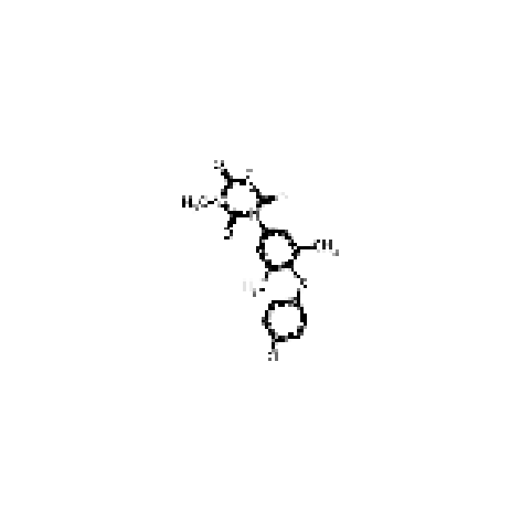 Cc1cc(-n2c(=O)[nH]c(=O)n(C)c2=O)cc(C)c1Sc1ccc(Cl)cc1